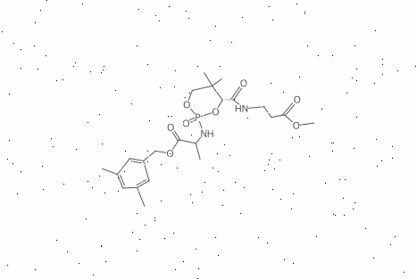 COC(=O)CCNC(=O)[C@@H]1OP(=O)(NC(C)C(=O)OCc2cc(C)cc(C)c2)OCC1(C)C